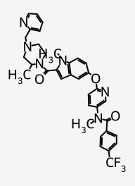 CC1CN(Cc2ccccn2)CCN1C(=O)c1cc2cc(Oc3ccc(N(C)C(=O)c4ccc(C(F)(F)F)cc4)cn3)ccc2n1C